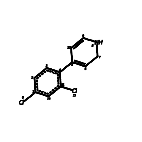 Clc1ccc(C2=CCNC=C2)c(Cl)c1